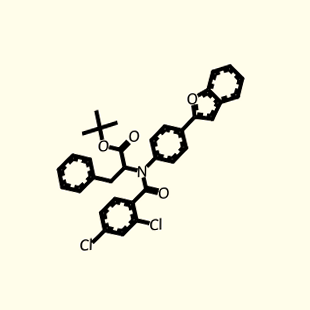 CC(C)(C)OC(=O)C(Cc1ccccc1)N(C(=O)c1ccc(Cl)cc1Cl)c1ccc(-c2cc3ccccc3o2)cc1